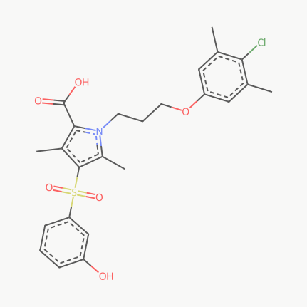 Cc1cc(OCCCn2c(C)c(S(=O)(=O)c3cccc(O)c3)c(C)c2C(=O)O)cc(C)c1Cl